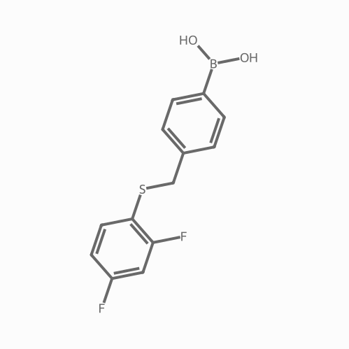 OB(O)c1ccc(CSc2ccc(F)cc2F)cc1